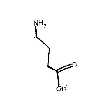 N[CH]CCC(=O)O